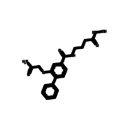 NC(=O)COc1cc(C(=O)NCCCC(=O)NO)ccc1-c1ccccc1